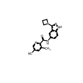 Cc1cc(C#N)cnc1C(=O)Nc1ccc2[nH]nc(N3CCC3)c2c1